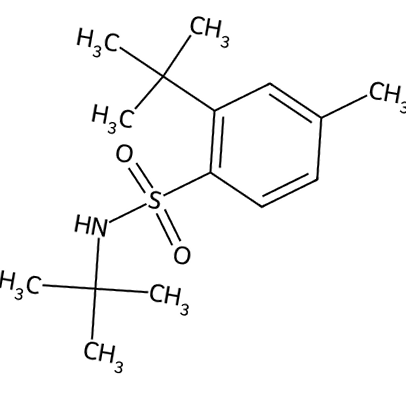 Cc1ccc(S(=O)(=O)NC(C)(C)C)c(C(C)(C)C)c1